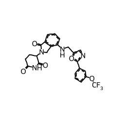 O=C1CCC(N2Cc3c(NCc4cnc(-c5cccc(OC(F)(F)F)c5)o4)cccc3C2=O)C(=O)N1